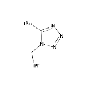 CC(C)Cn1nnnc1C(C)(C)C